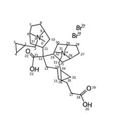 C[N+]1(CC2CC2)C2CCC1CC(C(CCCCCC(=O)O)(C(=O)O)C1CC3CCC(C1)[N+]3(C)CC1CC1)C2.[Br-].[Br-]